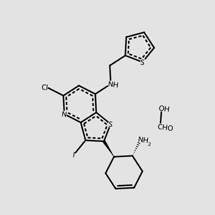 N[C@@H]1CC=CC[C@H]1c1sc2c(NCc3cccs3)cc(Cl)nc2c1I.O=CO